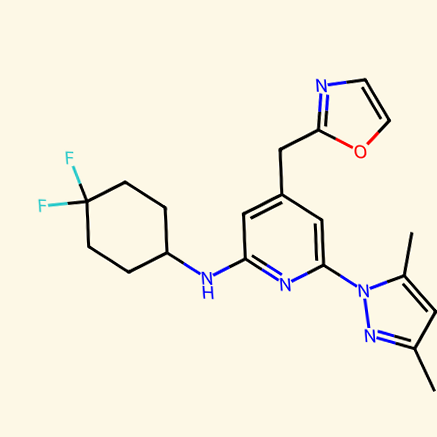 Cc1cc(C)n(-c2cc(Cc3ncco3)cc(NC3CCC(F)(F)CC3)n2)n1